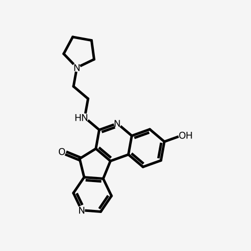 O=C1c2cnccc2-c2c1c(NCCN1CCCC1)nc1cc(O)ccc21